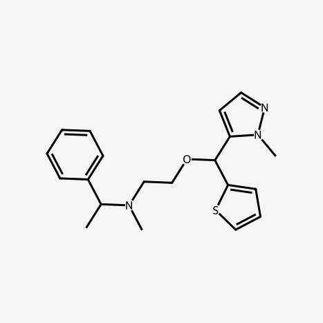 CC(c1ccccc1)N(C)CCOC(c1cccs1)c1ccnn1C